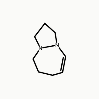 C1=CN2CCCN2CCC1